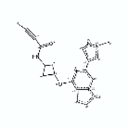 CC#CC(=O)NC1CC(Oc2nc(-c3cnn(C)c3)cn3nccc23)C1